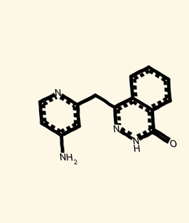 Nc1ccnc(Cc2n[nH]c(=O)c3ccccc23)c1